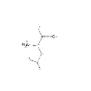 CC(=O)C(N)CC(C)C